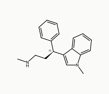 CNCC[C@@H](c1ccccc1)c1cn(C)c2ccccc12